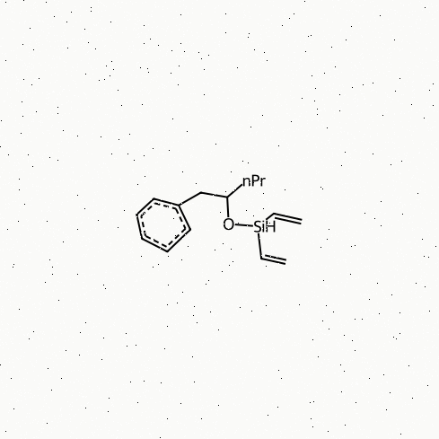 C=C[SiH](C=C)OC(CCC)Cc1ccccc1